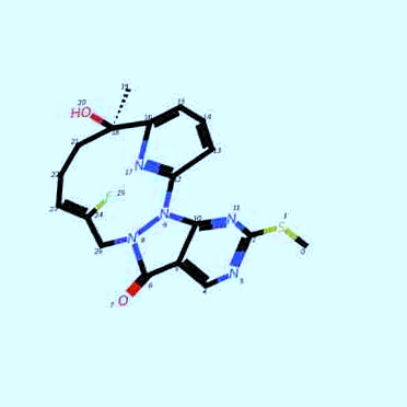 CSc1ncc2c(=O)n3n(c2n1)-c1cccc(n1)[C@](C)(O)CC/C=C(\F)C3